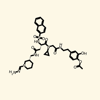 CC(=O)Oc1ccc(CCNC(=O)CN(C(=O)[C@H](CC(=O)NC[C@@H]2CCCN(C=NN)C2)NS(=O)(=O)c2ccc3ccccc3c2)C2CC2)cc1O